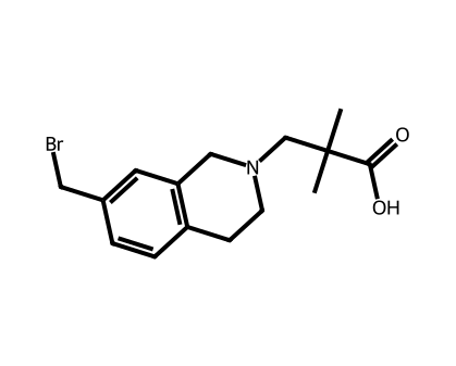 CC(C)(CN1CCc2ccc(CBr)cc2C1)C(=O)O